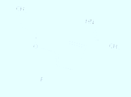 CCCOc1cc(C(C)=N)ccc1F